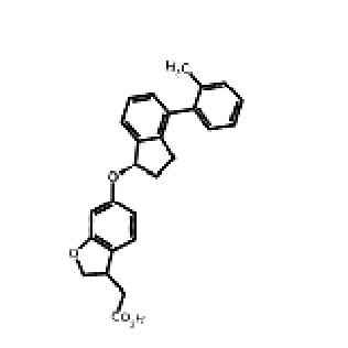 Cc1ccccc1-c1cccc2c1CC[C@H]2Oc1ccc2c(c1)OCC2CC(=O)O